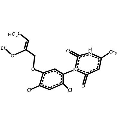 CCOC(=CC(=O)O)COc1cc(-n2c(=O)cc(C(F)(F)F)[nH]c2=O)c(Cl)cc1Cl